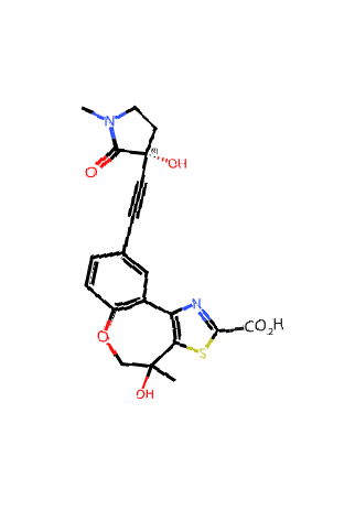 CN1CC[C@@](O)(C#Cc2ccc3c(c2)-c2nc(C(=O)O)sc2C(C)(O)CO3)C1=O